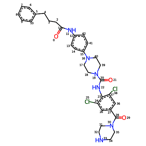 O=C(CCCc1ccccc1)Nc1ccc(N2CCN(C(=O)Nc3c(Cl)cc(C(=O)N4CCNCC4)cc3Cl)CC2)cc1